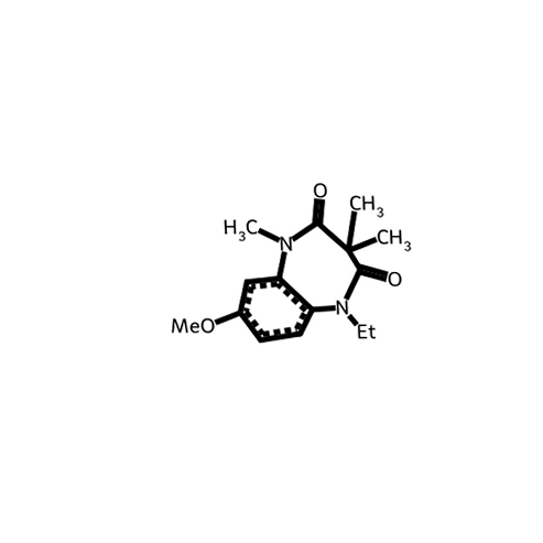 CCN1C(=O)C(C)(C)C(=O)N(C)c2cc(OC)ccc21